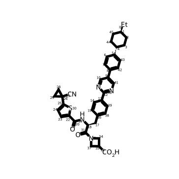 CC[C@H]1CC[C@H](c2ccc(-c3cnc(-c4ccc(C[C@H](NC(=O)c5ccc(C6(C#N)CC6)s5)C(=O)N5CC(C(=O)O)C5)cc4)nc3)cc2)CC1